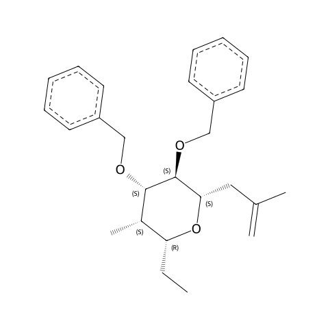 C=C(C)C[C@@H]1O[C@H](CC)[C@H](C)[C@H](OCc2ccccc2)[C@H]1OCc1ccccc1